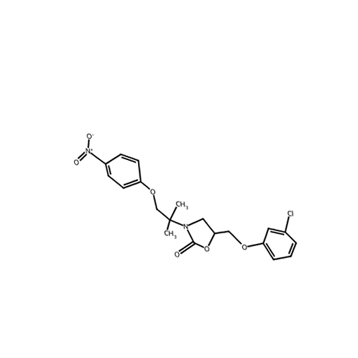 CC(C)(COc1ccc([N+](=O)[O-])cc1)N1CC(COc2cccc(Cl)c2)OC1=O